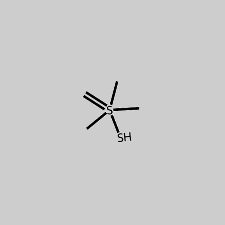 C=S(C)(C)(C)S